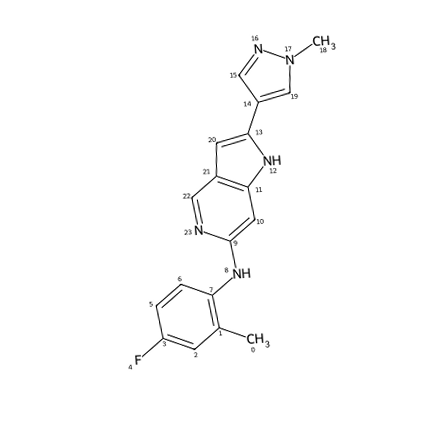 Cc1cc(F)ccc1Nc1cc2[nH]c(-c3cnn(C)c3)cc2cn1